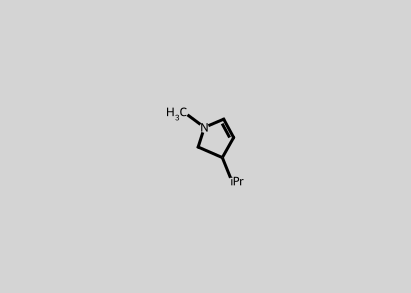 CC(C)C1C=CN(C)C1